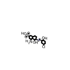 Nc1cc(S(=O)(=O)O)cc2ccc(/N=N/c3cc(Cl)ccc3O)c(O)c12